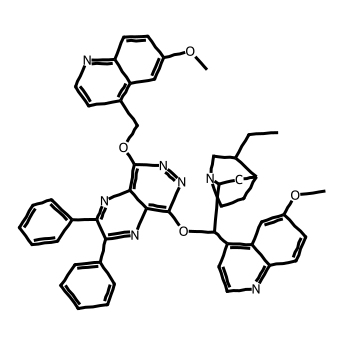 CCC1CN2CCC1CC2C(Oc1nnc(OCc2ccnc3ccc(OC)cc23)c2nc(-c3ccccc3)c(-c3ccccc3)nc12)c1ccnc2ccc(OC)cc12